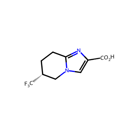 O=C(O)c1cn2c(n1)CC[C@@H](C(F)(F)F)C2